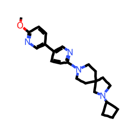 COc1ccc(-c2ccc(N3CCC4(CC3)CCN(C3CCC3)C4)nc2)cn1